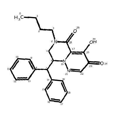 CCCCN1CC(C(c2ccccc2)c2ccccc2)n2ncc(=O)c(O)c2C1=O